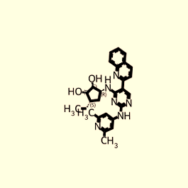 CC[C@H]1C[C@@H](Nc2nc(Nc3cc(C)nc(C)c3)ncc2-c2ccc3ccccc3n2)[C@H](O)[C@@H]1O